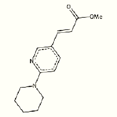 COC(=O)C=Cc1ccc(N2CCCCC2)nc1